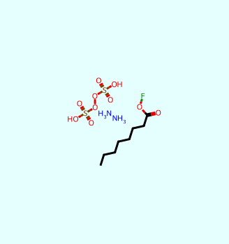 CCCCCCCC(=O)OF.N.N.O=S(=O)(O)OOS(=O)(=O)O